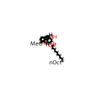 CCCCCCCC/C=C\CCCCCCCC(=O)OC1=CC[C@]2(O)[C@H]3CCC[C@]24c2c(ccc(OC)c2O[C@H]14)C3